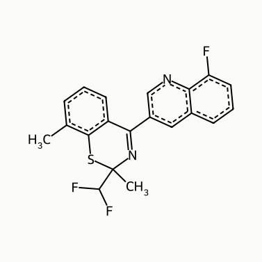 Cc1cccc2c1SC(C)(C(F)F)N=C2c1cnc2c(F)cccc2c1